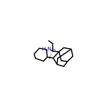 CC[C@](C)(N)C12CC3CC(CC(C3)C1C1CCCCC1)C2